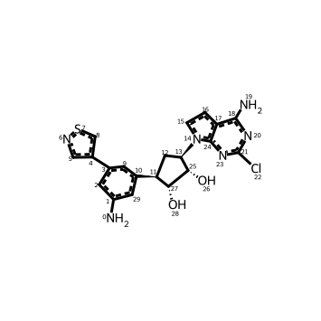 Nc1cc(-c2cnsc2)cc([C@H]2C[C@@H](n3ccc4c(N)nc(Cl)nc43)[C@H](O)[C@@H]2O)c1